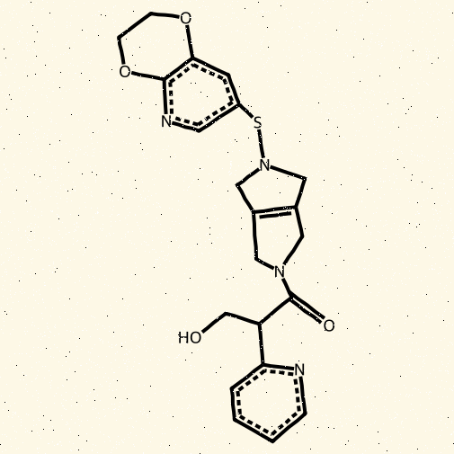 O=C(C(CO)c1ccccn1)N1CC2=C(CN(Sc3cnc4c(c3)OCCO4)C2)C1